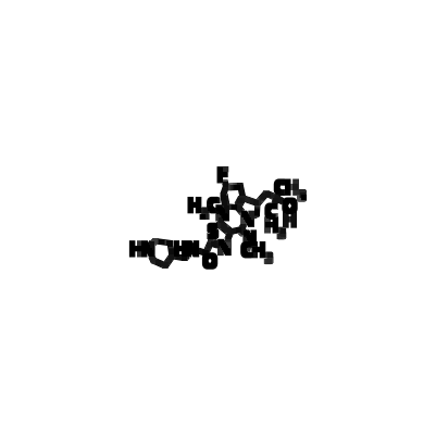 C=Nc1sc(C(=O)NCC2CCNCC2)nc1/C(=N\C)N1CC(CC(C)(C)O)c2cc(F)ccc21